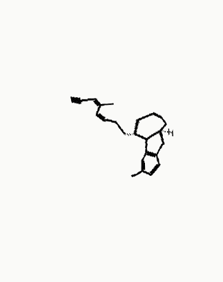 C#C/C=C(C)\C=C/CC[C@@H]1CCC[C@H]2Cc3ccc(C)cc3C12